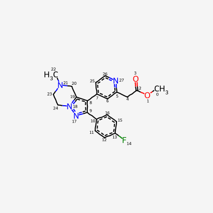 COC(=O)Cc1cc(-c2c(-c3ccc(F)cc3)nn3c2CN(C)CC3)ccn1